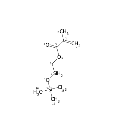 C=C(C)C(=O)OC[SiH2]O[Si](C)(C)C